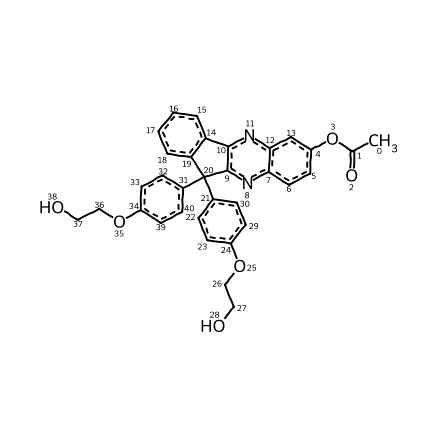 CC(=O)Oc1ccc2nc3c(nc2c1)-c1ccccc1C3(c1ccc(OCCO)cc1)c1ccc(OCCO)cc1